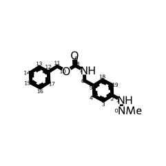 CNNc1ccc(CNC(=O)OCc2ccccc2)cc1